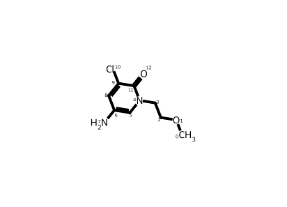 COCCn1cc(N)cc(Cl)c1=O